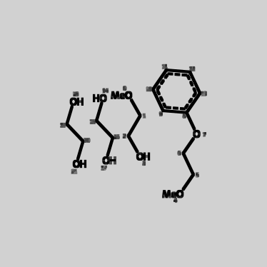 COCCO.COCCOc1ccccc1.OCCO.OCCO